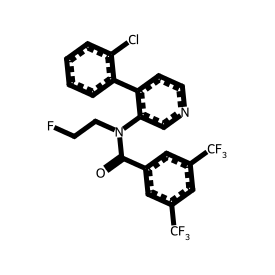 O=C(c1cc(C(F)(F)F)cc(C(F)(F)F)c1)N(CCF)c1cnccc1-c1ccccc1Cl